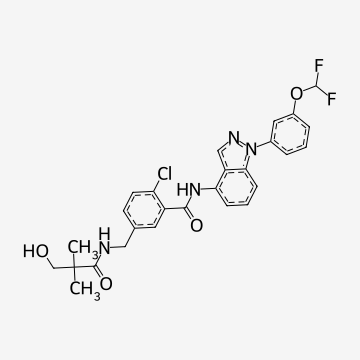 CC(C)(CO)C(=O)NCc1ccc(Cl)c(C(=O)Nc2cccc3c2cnn3-c2cccc(OC(F)F)c2)c1